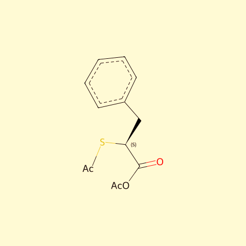 CC(=O)OC(=O)[C@H](Cc1ccccc1)SC(C)=O